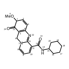 COC1C=CC2=C(CN3C=CC=C(C(=O)NC4CCCCC4)C3=N2)C1=O